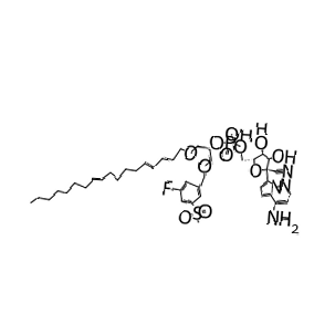 CCCCCCCCCCCCCCCCCCOC[C@H](COCc1cc(F)cc(S(C)(=O)=O)c1)OP(=O)(O)OC[C@H]1O[C@@](C#N)(c2ccc3c(N)ccnn23)[C@H](O)[C@@H]1O